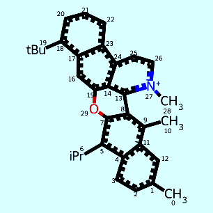 Cc1ccc2c(C(C)C)c3c(c(C)c2c1)-c1c2c(cc4c(C(C)(C)C)cccc4c2cc[n+]1C)O3